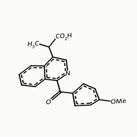 COc1ccc(C(=O)c2ncc(C(C)C(=O)O)c3ccccc23)cc1